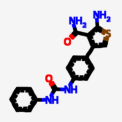 NC(=O)c1c(-c2ccc(NC(=O)Nc3ccccc3)cc2)csc1N